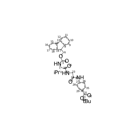 CC(C)[C@H](NC(=O)OCC1c2ccccc2-c2ccccc21)C(=O)NCC(=O)Nc1ccc(C(=O)OC(C)(C)C)cc1